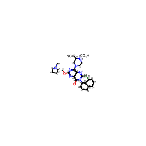 CCc1nc2c(N3CCN(C(=O)O)C(CC#N)C3)nc(OC[C@@H]3CCCN3C)nc2c(=O)n1-c1cccc2cccc(Cl)c12